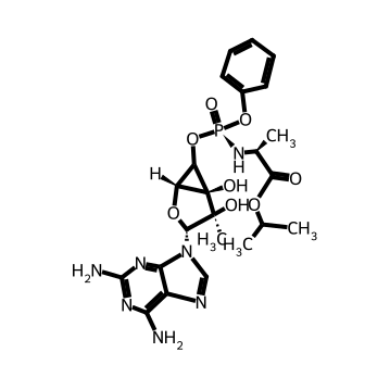 CC(C)OC(=O)[C@H](C)N[P@@](=O)(Oc1ccccc1)OC1[C@H]2O[C@@H](n3cnc4c(N)nc(N)nc43)[C@](C)(O)[C@@]12O